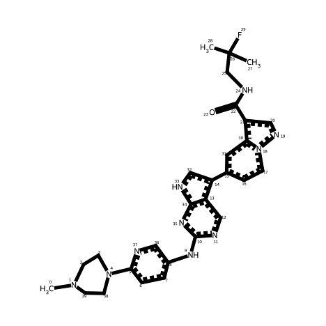 CN1CCN(c2ccc(Nc3ncc4c(-c5ccn6ncc(C(=O)NCC(C)(C)F)c6c5)c[nH]c4n3)cn2)CC1